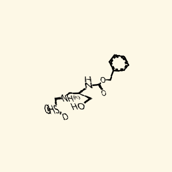 O=C(N[C@@H](CO)CNC[SH](=O)=O)OCc1ccccc1